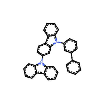 c1ccc(-c2cccc(-n3c4ccccc4c4ccc(-n5c6ccccc6c6ccccc65)cc43)c2)cc1